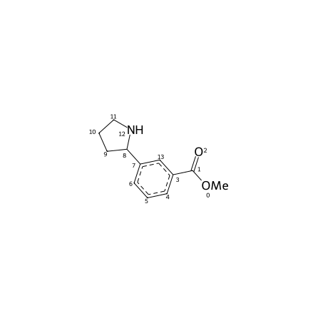 COC(=O)c1cccc(C2CCCN2)c1